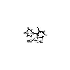 CC(C)(C)OC=O.Cc1cncnc1N1CCNCC1